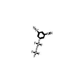 F[B-](F)(F)F.F[B-](F)(F)F.N#[N+]c1cccc([N+]#N)c1